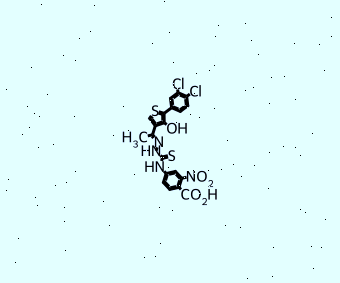 C/C(=N\NC(=S)Nc1ccc(C(=O)O)c([N+](=O)[O-])c1)c1csc(-c2ccc(Cl)c(Cl)c2)c1O